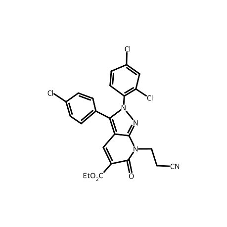 CCOC(=O)c1cc2c(-c3ccc(Cl)cc3)n(-c3ccc(Cl)cc3Cl)nc2n(CCC#N)c1=O